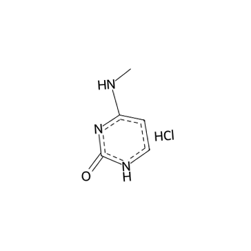 CNc1cc[nH]c(=O)n1.Cl